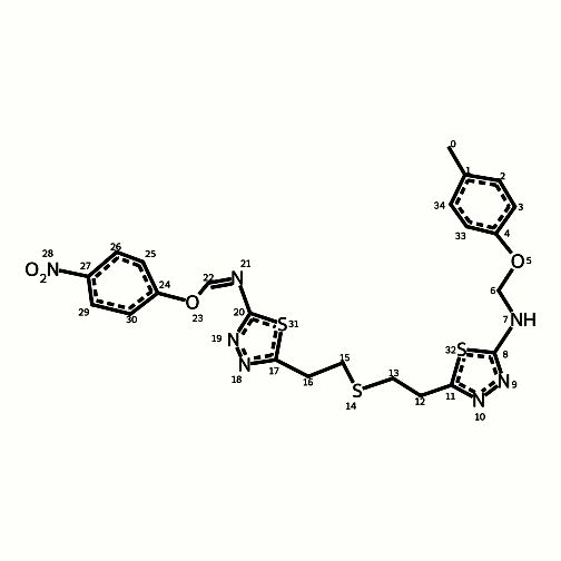 Cc1ccc(OCNc2nnc(CCSCCc3nnc(/N=C\Oc4ccc([N+](=O)[O-])cc4)s3)s2)cc1